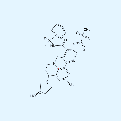 CS(=O)(=O)c1ccc2nc(-c3cccc(C(F)(F)F)c3)c(CN3CCC(N4CC[C@@H](O)C4)CC3)c(C(=O)NC3(c4ccccc4)CC3)c2c1